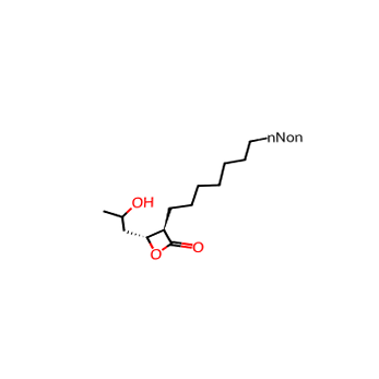 CCCCCCCCCCCCCCCC[C@H]1C(=O)O[C@@H]1CC(C)O